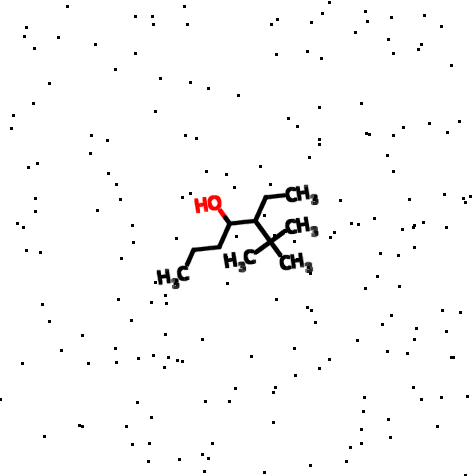 CCCC(O)C(CC)C(C)(C)C